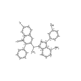 CC(c1cc2ccc(F)cn2c(=O)c1-c1ccccc1)n1nc(-c2cccc(O)c2)c2c(N)ncnc21